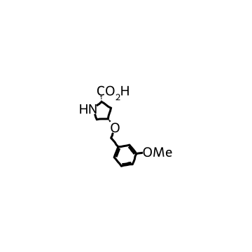 COc1cccc(CO[C@@H]2CN[C@H](C(=O)O)C2)c1